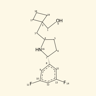 OCC1(CC2CC[C@H](c3cc(F)cc(F)c3)N2)CCC1